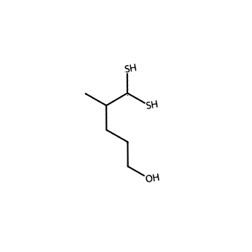 CC(CCCO)[C](S)S